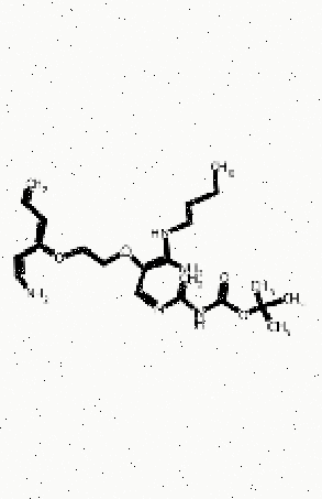 C=C/C=C(\C=C/N)OCCOC(/C=N\C(=C)NC(=O)OC(C)(C)C)=C(/N)NCCCC